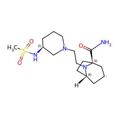 CS(=O)(=O)N[C@H]1CCCN(CCN2[C@@H]3C[CH]C[C@@]2(C(N)=O)CC3)C1